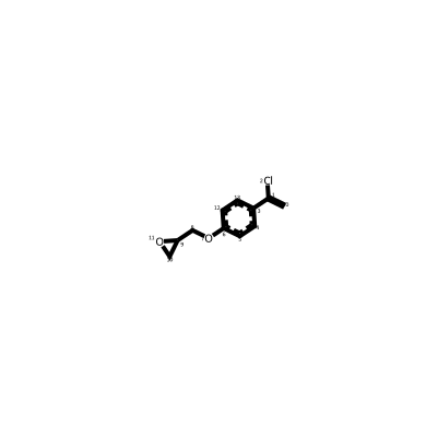 C=C(Cl)c1ccc(OCC2CO2)cc1